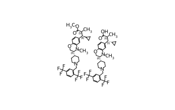 COC(=O)[C@@H](C)[C@H](c1ccc2c(c1)N(C)[C@H](C1CCN(Cc3cc(C(F)(F)F)ccc3C(F)(F)F)CC1)CO2)C1CC1.C[C@H](C(=O)O)[C@@H](c1ccc2c(c1)N(C)[C@H](C1CCN(Cc3cc(C(F)(F)F)ccc3C(F)(F)F)CC1)CO2)C1CC1